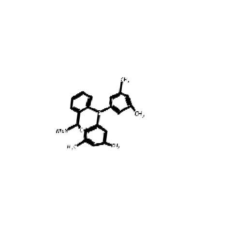 CNC(C)c1ccccc1P(c1cc(C)cc(C)c1)c1cc(C)cc(C)c1